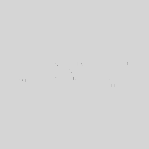 CCN(CCC#N)c1ccc(N=Nc2nc3ccc([N+](=O)[O-])cc3s2)c(C)c1